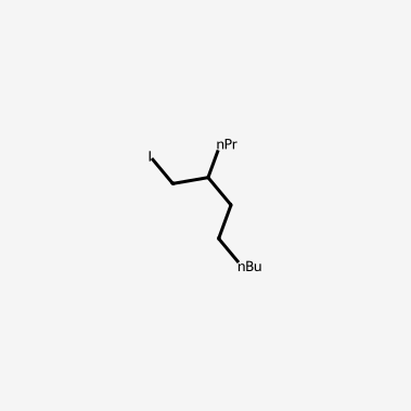 CCCCCCC(CI)CCC